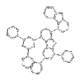 c1ccc(-c2cc(-c3ccccc3)c3sc4c(-c5cccc6sc7ccccc7c56)ccc(-c5nc(-c6ccccc6)nc(-c6ccccc6)n5)c4c3c2)cc1